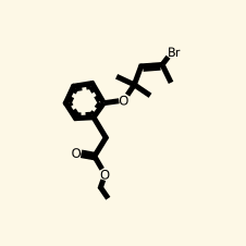 CCOC(=O)Cc1ccccc1OC(C)(C)/C=C(\C)Br